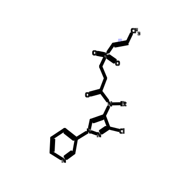 CCN(C(=O)CCS(=O)(=O)/C=C/C(F)(F)F)c1cn(-c2cccnc2)nc1Cl